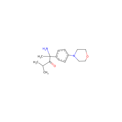 CC(C)C(=O)C(C)(N)c1ccc(N2CCOCC2)cc1